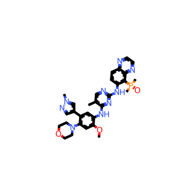 COc1cc(N2CCOCC2)c(-c2cnn(C)c2)cc1Nc1nc(Nc2ccc3nccnc3c2P(C)(C)=O)ncc1C